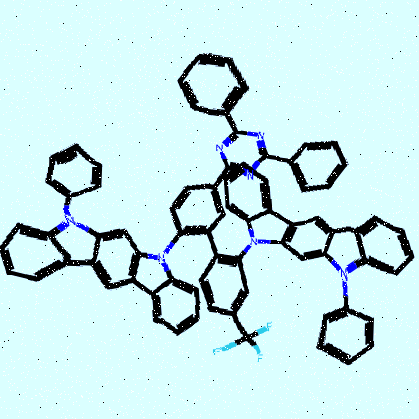 FC(F)(F)c1ccc(-c2cc(-c3nc(-c4ccccc4)nc(-c4ccccc4)n3)ccc2-n2c3ccccc3c3cc4c5ccccc5n(-c5ccccc5)c4cc32)c(-n2c3ccccc3c3cc4c5ccccc5n(-c5ccccc5)c4cc32)c1